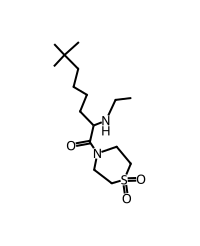 CCNC(CCCCC(C)(C)C)C(=O)N1CCS(=O)(=O)CC1